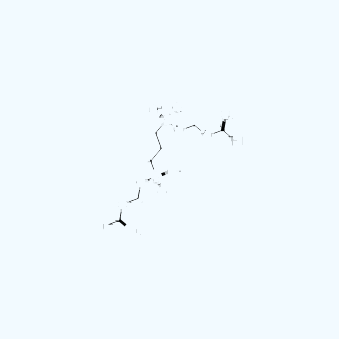 CCC(=O)OCOS(=O)(=O)CCCS(=O)(=O)OCOC(=O)CC